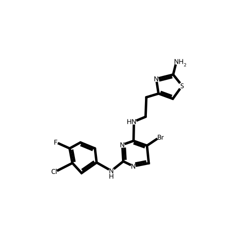 Nc1nc(CCNc2nc(Nc3ccc(F)c(Cl)c3)ncc2Br)cs1